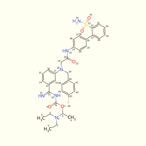 CCN(CC)C(C)OC(=O)NC(=N)c1cccc(N(CC(=O)Nc2ccc(-c3ccccc3S(N)(=O)=O)cc2)Cc2ccc(F)cc2)c1